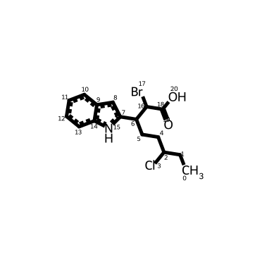 CCC(Cl)CCC(c1cc2ccccc2[nH]1)C(Br)C(=O)O